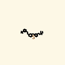 CCC(C)(CC)CCc1ccc2c(c1)CC1=CC(CCc3cccc(C(C)(C)C)c3)CC=C1S2